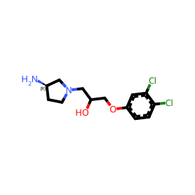 N[C@@H]1CCN(CC(O)COc2ccc(Cl)c(Cl)c2)C1